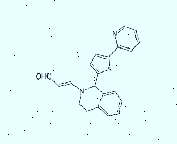 O=CC=CN1CCc2ccccc2C1c1ccc(-c2ccccn2)s1